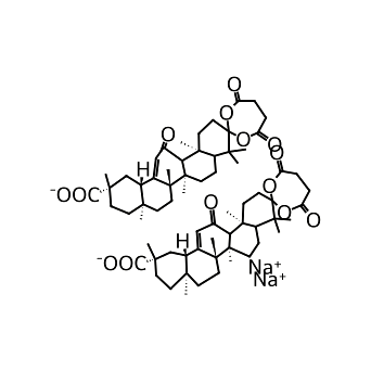 CC1(C)C2CC[C@]3(C)C(C(=O)C=C4[C@H]5C[C@@](C)(C(=O)[O-])CC[C@]5(C)CC[C@]43C)[C@@]2(C)CCC12OC(=O)CCC(=O)O2.CC1(C)C2CC[C@]3(C)C(C(=O)C=C4[C@H]5C[C@@](C)(C(=O)[O-])CC[C@]5(C)CC[C@]43C)[C@@]2(C)CCC12OC(=O)CCC(=O)O2.[Na+].[Na+]